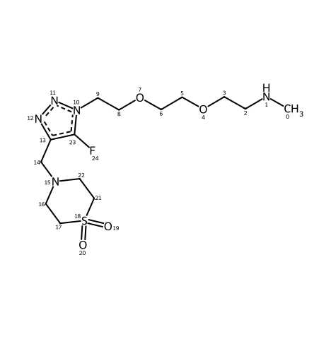 CNCCOCCOCCn1nnc(CN2CCS(=O)(=O)CC2)c1F